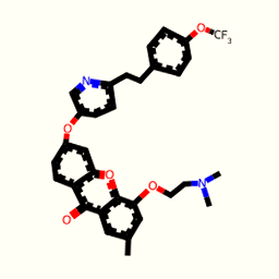 Cc1cc(OCCN(C)C)c2oc3cc(Oc4ccc(CCc5ccc(OC(F)(F)F)cc5)nc4)ccc3c(=O)c2c1